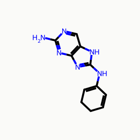 Nc1ncc2[nH]c(NC3=CCCC=C3)nc2n1